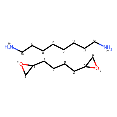 C(CCC1CO1)CC1CO1.NCCCCCCCCN